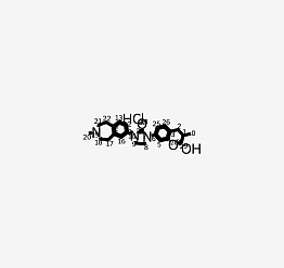 CC(Cc1ccc(N2CCN(c3ccc4c(c3)CCN(C)CC4)C2=O)cc1)C(=O)O.Cl